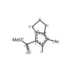 COC(=O)c1c(C)c(C(C)=O)c2n1CCC2